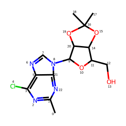 Cc1nc(Cl)c2ncn(C3OC(CO)C4OC(C)(C)OC43)c2n1